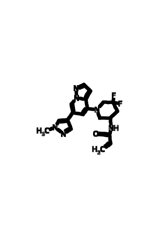 C=CC(=O)NC1CN(c2cc(-c3cnn(C)c3)cn3nccc23)CC(F)(F)C1